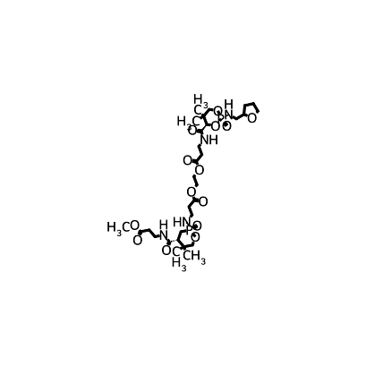 COC(=O)CCNC(=O)[C@@H]1C[P@](=O)(NCCC(=O)OCCOC(=O)CCNC(=O)[C@@H]2O[P@@](=O)(NCC3CCCO3)OCC2(C)C)OCC1(C)C